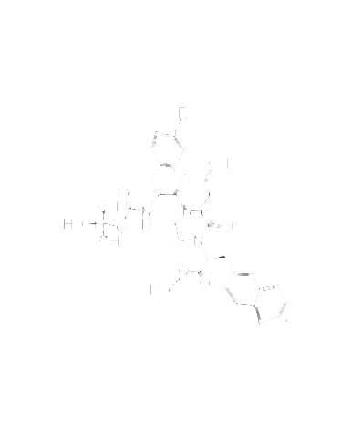 C=CC[C@H]1C(=O)N([C@@H](Cc2ccc3ccccc3c2)C(=O)OC)CCN1C(=O)[C@@H](Cc1ccc(F)cc1)NC(=O)OC(C)(C)C